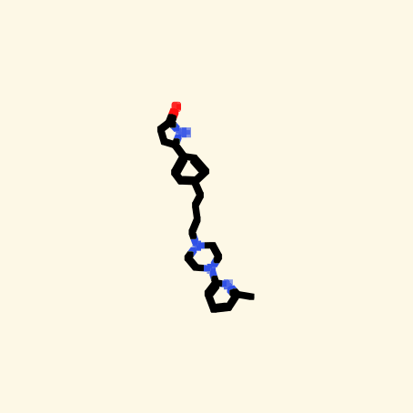 Cc1cccc(N2CCN(CCCCc3ccc(C4CCC(=O)N4)cc3)CC2)n1